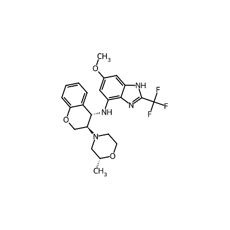 COc1cc(N[C@H]2c3ccccc3OC[C@@H]2N2CCO[C@H](C)C2)c2nc(C(F)(F)F)[nH]c2c1